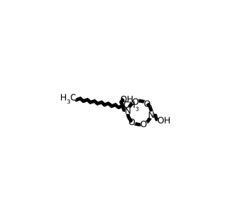 CCCCCCCCCCCCCCC(C)(CO)CN1CCOCCOCCN(CCO)CCOCCOCC1